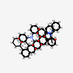 CC1(C)c2ccccc2-c2c(-c3ccccc3N(c3ccccc3-c3cccc4cccc(C5CCCCC5)c34)c3ccccc3-c3cccc4c3c3ccccc3n4-c3ccccc3)cccc21